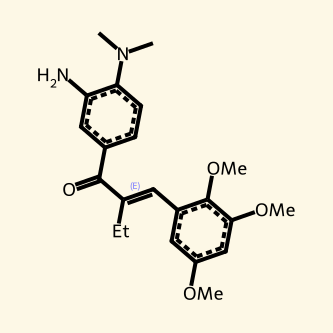 CC/C(=C\c1cc(OC)cc(OC)c1OC)C(=O)c1ccc(N(C)C)c(N)c1